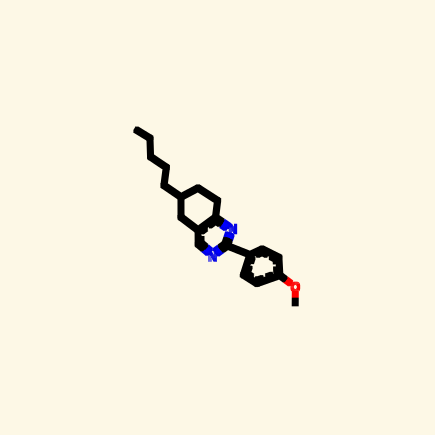 CCCCCC1CCc2nc(-c3ccc(OC)cc3)ncc2C1